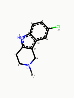 CCN1CCc2[nH]c3ccc(Cl)cc3c2C1